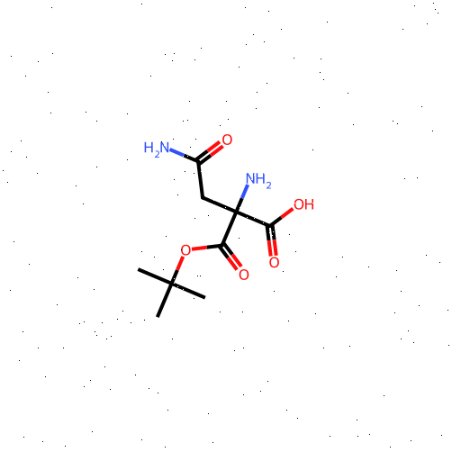 CC(C)(C)OC(=O)C(N)(CC(N)=O)C(=O)O